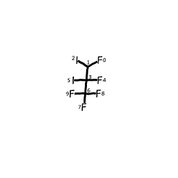 FC(I)C(F)(I)C(F)(F)F